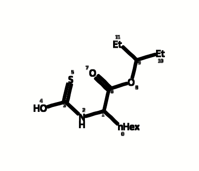 CCCCCCC(NC(O)=S)C(=O)OC(CC)CC